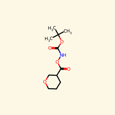 CC(C)(C)OC(=O)NOC(=O)C1CCCOC1